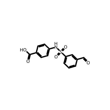 O=Cc1cccc(S(=O)(=O)Nc2ccc(C(=O)O)cc2)c1